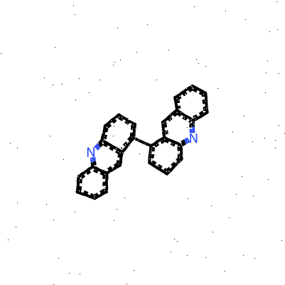 c1ccc2nc3cccc(-c4cccc5nc6ccccc6cc45)c3cc2c1